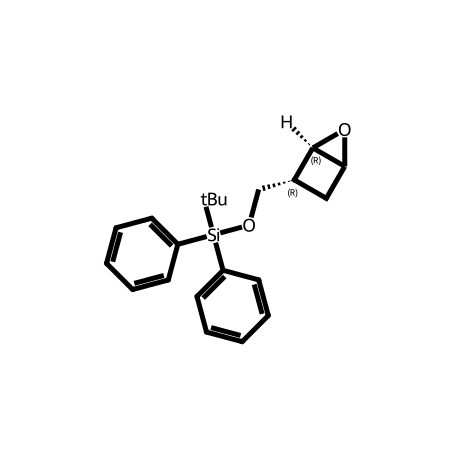 CC(C)(C)[Si](OC[C@H]1CC2O[C@@H]21)(c1ccccc1)c1ccccc1